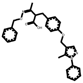 CC(=NOCc1ccccc1)C(Cc1ccc(OCc2cnn(-c3ccccc3)c2C)cc1)C(=O)O